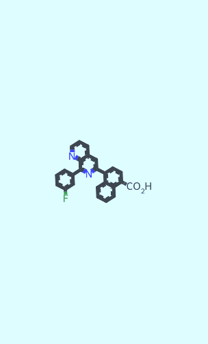 O=C(O)c1ccc(-c2cc3cccnc3c(-c3cccc(F)c3)n2)c2ccccc12